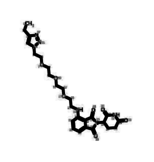 CCc1cn(CCOCCOCCOCCNc2cccc3c2C(=O)N(C2CCC(=O)NC2=O)C3=O)nn1